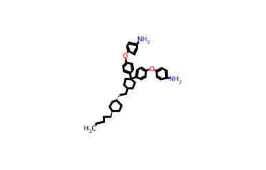 CCCCC[C@H]1CC[C@H](CCC2CCC(c3ccc(Oc4ccc(N)cc4)cc3)(c3ccc(Oc4ccc(N)cc4)cc3)CC2)CC1